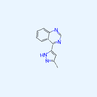 Cc1cc(-c2ncnc3ccccc23)[nH]n1